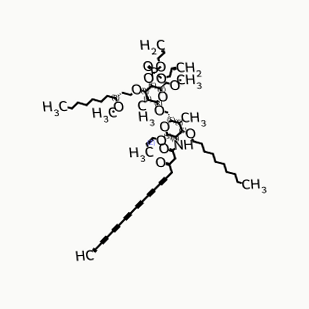 C#CC#CC#CC#CC#CC#CC#CCC(=O)CC(=O)N[C@H]1[C@@H](O/C=C\C)O[C@H](CO[C@@H]2O[C@H](COC)[C@@H](OP(=O)(OCC=C)OCC=C)[C@H](OCC[C@@H](CCCCCCC)OC)[C@H]2C)[C@@H](C)[C@@H]1OCCCCCCCCCC